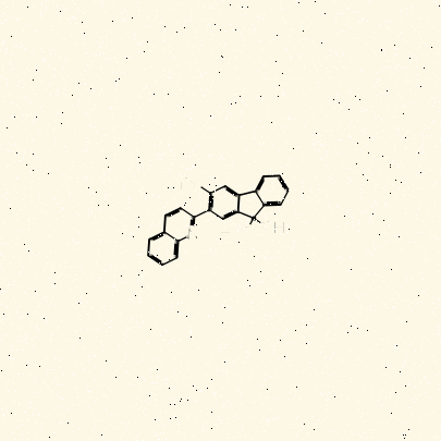 CC(C)c1cc2c(cc1-c1ccc3ccccc3n1)C(C)(C)c1ccccc1-2